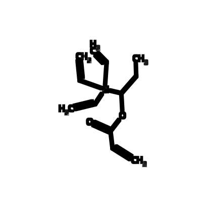 C=CC(=O)OC(CC)[Si](C=C)(C=C)C=C